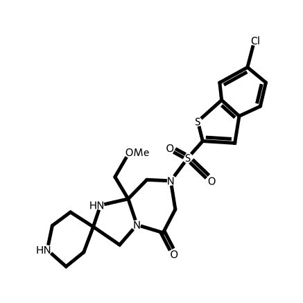 COCC12CN(S(=O)(=O)c3cc4ccc(Cl)cc4s3)CC(=O)N1CC1(CCNCC1)N2